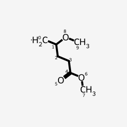 [CH2]C(CCC(=O)OC)OC